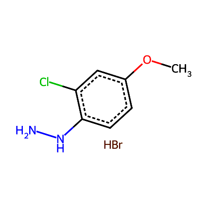 Br.COc1ccc(NN)c(Cl)c1